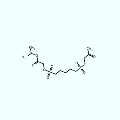 CC(=O)COS(=O)(=O)CCCCCS(=O)(=O)OCC(=O)OC(C)C